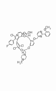 COc1ccccc1-c1nccc(COc2ccc3cc2C[C@H](C(=O)O)Oc2nccn4c(Cl)c(-c5ccc(F)cc5)c(c24)-c2cc(Cl)c(c(Cl)c2)O[C@H](CN2CCN(C)CC2)CO3)n1